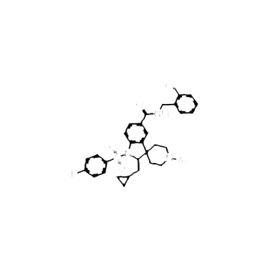 CC(=O)N1CCC2(CC1)c1cc(C(=O)NCc3ccccc3Cl)ccc1N(S(=O)(=O)c1ccc(F)cc1)C2CC1CC1